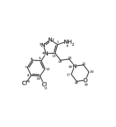 Nc1nnn(-c2ccc(Cl)c(Cl)c2)c1CCN1CCOCC1